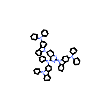 c1ccc(N(c2ccccc2)c2ccc3c(c2)c2ccccc2n3-c2ccc3nc(-n4c5ccccc5c5cc(N(c6ccccc6)c6ccccc6)ccc54)nc(N(c4ccccc4)c4ccc5c6ccccc6n(-c6ccccc6)c5c4)c3c2)cc1